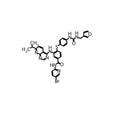 CC(C)c1ccc2c(Nc3cc(C(=O)Nc4ccc(Br)cn4)ccc3Sc3ccc(NC(=O)NCc4ccoc4)cc3)ncnc2n1